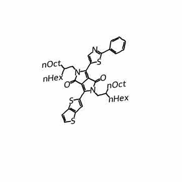 CCCCCCCCC(CCCCCC)CN1C(=O)C2=C(c3cc4sccc4s3)N(CC(CCCCCC)CCCCCCCC)C(=O)C2=C1c1cnc(-c2ccccc2)s1